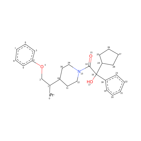 C[C](C)C(COc1ccccc1)C1CCN(C(=O)C(O)(c2ccccc2)C2CCCC2)CC1